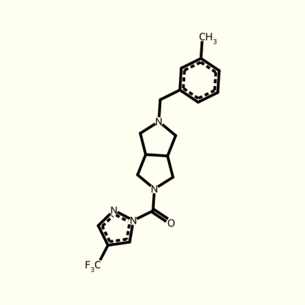 Cc1cccc(CN2CC3CN(C(=O)n4cc(C(F)(F)F)cn4)CC3C2)c1